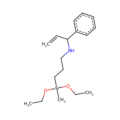 C=CC(NCCC[Si](C)(OCC)OCC)c1ccccc1